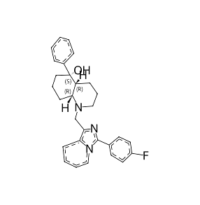 O[C@@]1(c2ccccc2)CCC[C@@H]2[C@H]1CCCN2Cc1nc(-c2ccc(F)cc2)n2ccccc12